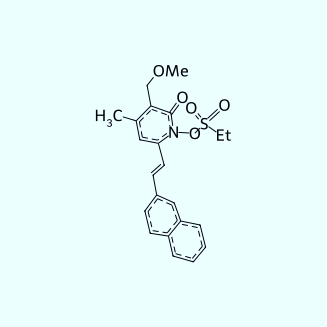 CCS(=O)(=O)On1c(C=Cc2ccc3ccccc3c2)cc(C)c(COC)c1=O